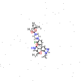 C[C@@H](Oc1cc(-c2ccc(N3CCN(C(=O)OC(C)(C)C)CC3)c(F)c2)cc2ncn(C3CC3)c12)[C@H]1CNC(=O)C1